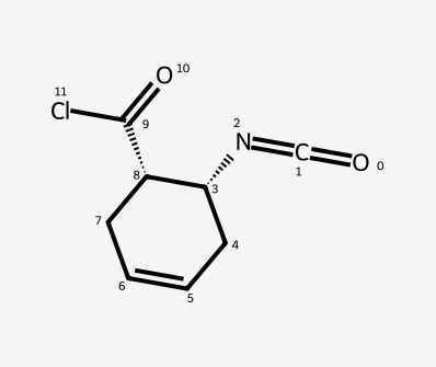 O=C=N[C@@H]1CC=CC[C@@H]1C(=O)Cl